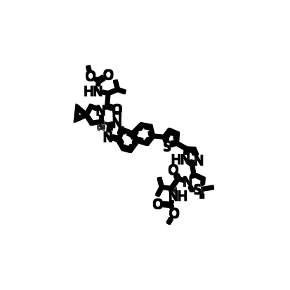 COC(=O)NC(C(=O)N1CC2(CC2)C[C@H]1c1nc2ccc3cc(-c4ccc(-c5cnc(C6C[Si](C)(C)CN6C(=O)[C@@H](NC(=O)OC)C(C)C)[nH]5)s4)ccc3c2[nH]1)C(C)C